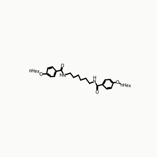 CCCCCCOc1ccc(C(=O)NCCCCCCNC(=O)c2ccc(OCCCCCC)cc2)cc1